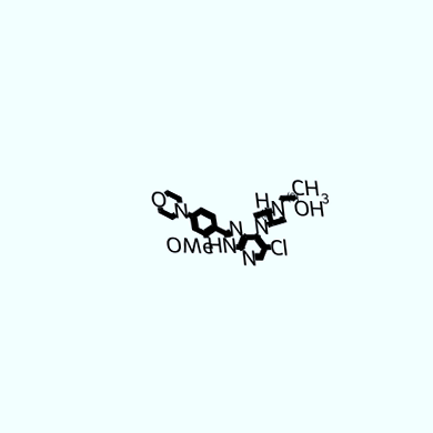 COc1cc(N2CCOCC2)ccc1-c1nc2c(N3C[C@@H]4C3CN4C[C@H](C)O)c(Cl)cnc2[nH]1